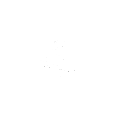 C[C@]12C[C@@H](c3ccc(NC(=O)O)cc3)C3=C4CCC(=O)C=C4CC[C@H]3[C@@H]1CC[C@@H]2O